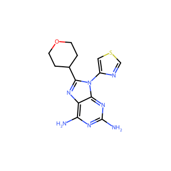 Nc1nc(N)c2nc(C3CCOCC3)n(-c3cscn3)c2n1